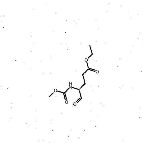 CCOC(=O)CC[C@@H](C=O)NC(=O)OC